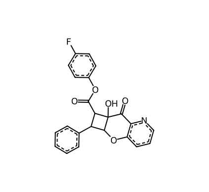 O=C(Oc1ccc(F)cc1)C1C(c2ccccc2)C2Oc3cccnc3C(=O)C21O